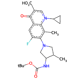 Cc1c(N2CC(C)C(NC(=O)OC(C)(C)C)C2)c(F)cc2c(=O)c(C(=O)O)cn(C3CC3)c12